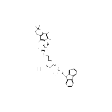 Cc1c(C)c(S(=O)(=O)NC(=N)NCCC[C@@H](CC(=O)O)NC(=O)OCC2c3ccccc3-c3ccccc32)c(C)c2c1OC(C)(C)CC2